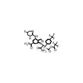 NC(=O)c1cc(NC2=NCC(F)CN2)c2cnn(C(C(N)=O)[C@@H](CC(=O)OC(=O)C(F)(F)F)c3ccc(C(F)(F)F)cc3)c2c1